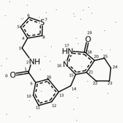 O=C(NCc1ccsc1)c1cccc(Cc2n[nH]c(=O)c3c2CCCC3)c1